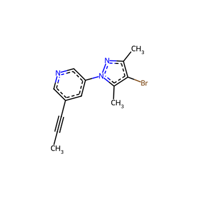 CC#Cc1cncc(-n2nc(C)c(Br)c2C)c1